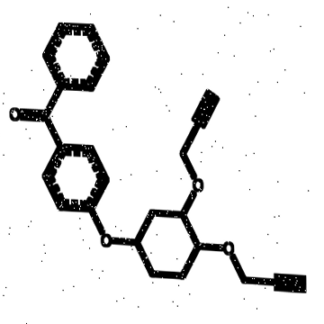 C#CCOC1CCC(Oc2ccc(C(=O)c3ccccc3)cc2)CC1OCC#C